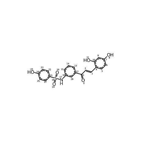 O=C(/C=C/c1ccc(O)cc1O)c1cccc(NS(=O)(=O)c2ccc(O)cc2)c1